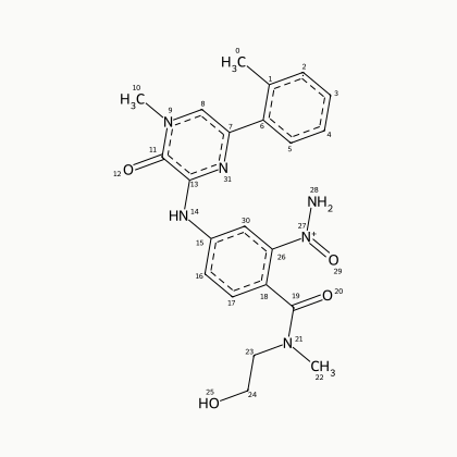 Cc1[c]cccc1-c1cn(C)c(=O)c(Nc2ccc(C(=O)N(C)CCO)c([N+](N)=O)c2)n1